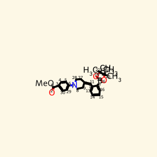 COC(=O)c1ccc(N2CCC(=Cc3ccccc3B3OC(C)(C)C(C)(C)O3)CC2)cc1